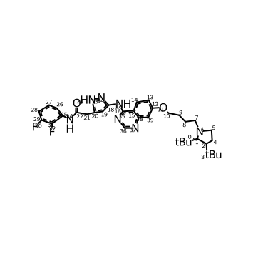 CC(C)(C)[C]1C(C(C)(C)C)CCN1CCCCOc1ccc2c(Nc3cc(CC(=O)Nc4cccc(F)c4F)[nH]n3)ncnc2c1